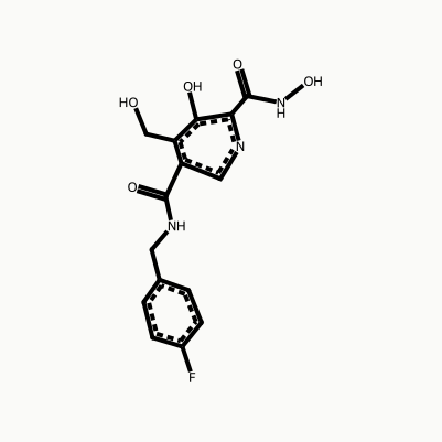 O=C(NCc1ccc(F)cc1)c1cnc(C(=O)NO)c(O)c1CO